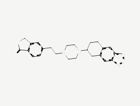 O=C1OCc2cc(CCN3CCN(C4CCc5cc6nonc6cc5C4)CC3)ccc21